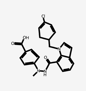 CN(NC(=O)c1cccc2ccn(CC3C=CC(Cl)=CC3)c12)c1ccc(C(=O)O)cc1